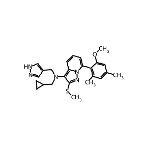 COc1cc(C)cc(C)c1-c1cccc2c(N(Cc3cn[nH]c3)CC3CC3)c(SC)nn12